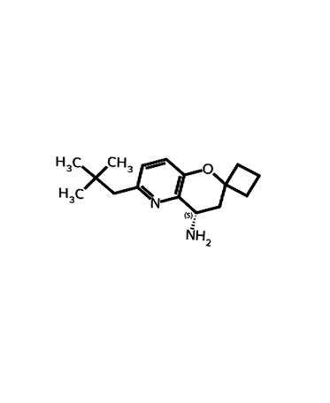 CC(C)(C)Cc1ccc2c(n1)[C@@H](N)CC1(CCC1)O2